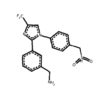 NCc1cccc(-c2nc(C(F)(F)F)cn2-c2ccc(C[SH](=O)=O)cc2)c1